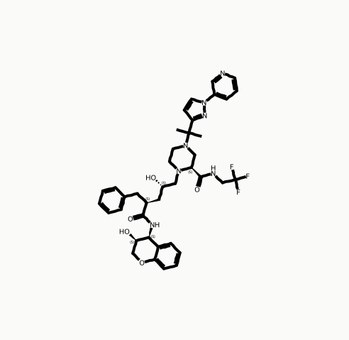 CC(C)(c1ccn(-c2cccnc2)n1)N1CCN(C[C@@H](O)C[C@H](Cc2ccccc2)C(=O)N[C@H]2c3ccccc3OC[C@H]2O)[C@H](C(=O)NCC(F)(F)F)C1